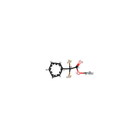 CCCCOC(=O)C(Br)(Br)c1ccccc1